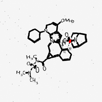 COC1=CCN(C2CCCCC2)c2c1cc1n2CC2=C(C(=O)N(C)S(=O)(=O)N(C)C)C2=C2C=CC[C@@H](C(=O)N3C4CCC3CN(C)C4)[C@@H]21